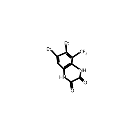 CCc1cc2[nH]c(=O)c(=O)[nH]c2c(C(F)(F)F)c1CC